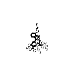 CC(C)(C)C1Cn2nc3c(OCCF)cccc3c2-c2cc(=O)c(C(=O)O)cn21